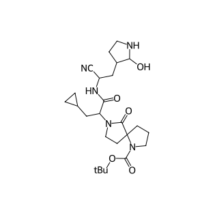 CC(C)(C)OC(=O)N1CCCC12CCN(C(CC1CC1)C(=O)NC(C#N)CC1CCNC1O)C2=O